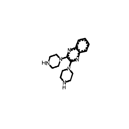 c1ccc2nc(N3CCNCC3)c(N3CCNCC3)nc2c1